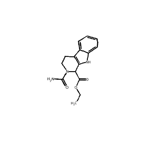 CCOC(=O)C1c2[nH]c3ccccc3c2CCN1C(N)=O